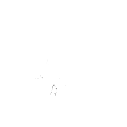 CCCCCCCCC1(Br)C(=O)NC(=O)NC1=O